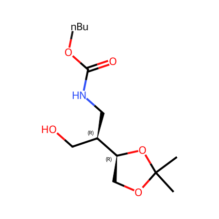 CCCCOC(=O)NC[C@H](CO)[C@@H]1COC(C)(C)O1